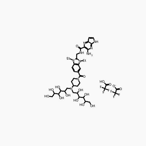 CCn1c(CNC(=O)c2nc3cc[nH]c3nc2N)[n+](CC)c2ccc(C(=O)N3CCC(N(CC(O)C(O)C(O)C(O)CO)CC(O)C(O)C(O)C(O)CO)CC3)cc21.O=C(O)C(F)(F)F.O=C([O-])C(F)(F)F